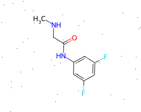 CNCC(=O)Nc1cc(F)cc(F)c1